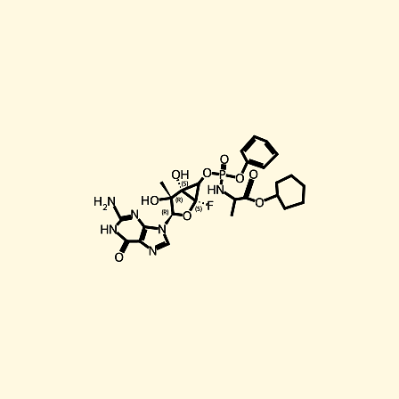 CC(NP(=O)(Oc1ccccc1)OC1[C@]2(O)[C@@](C)(O)[C@H](n3cnc4c(=O)[nH]c(N)nc43)O[C@]12F)C(=O)OC1CCCCC1